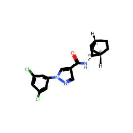 O=C(N[C@@H]1C[C@@H]2CC[C@H]1C2)c1cnn(-c2cc(Cl)cc(Cl)c2)c1